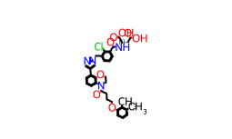 Cc1cccc(OCCCC(=O)N2CCOc3c(-c4cnn(Cc5cccc(C(=O)N[C@@H](CC(=O)O)C(=O)O)c5Cl)c4)cccc32)c1C